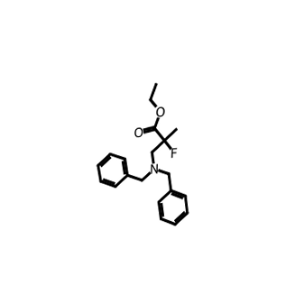 CCOC(=O)C(C)(F)CN(Cc1ccccc1)Cc1ccccc1